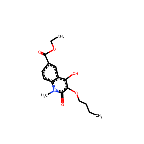 CCCCOc1c(O)c2cc(C(=O)OCC)ccc2n(C)c1=O